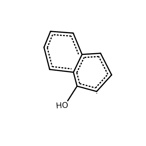 Oc1[c]ccc2ccccc12